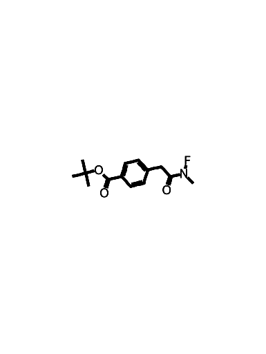 CN(F)C(=O)Cc1ccc(C(=O)OC(C)(C)C)cc1